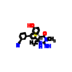 CN1C(=N)N[C@](C)(c2cc(C3C=CC=C(C#N)C3)cs2)[C@H](c2ccc(O)cc2)C1=O